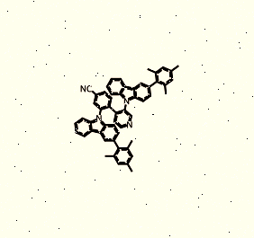 Cc1cc(C)c(-c2ccc3c(c2)c2ccccc2n3-c2cnccc2-c2ccc(C#N)cc2-n2c3ccccc3c3cc(-c4c(C)cc(C)cc4C)ccc32)c(C)c1